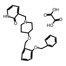 O=C(O)C(=O)O.O=c1[nH]cccc1CN1CCC(OCc2ccccc2OCc2ccccc2)CC1